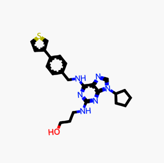 OCCCNc1nc(NCc2ccc(-c3ccsc3)cc2)c2ncn(C3CCCC3)c2n1